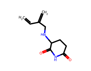 C=CC(=C)CNC1CCC(=O)NC1=O